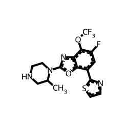 CC1CNCCN1c1nc2c(OC(F)(F)F)c(F)cc(-c3nccs3)c2o1